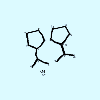 CC(C)[C]1[CH][CH][CH][CH]1.CC(C)[C]1[CH][CH][CH][CH]1.[W]